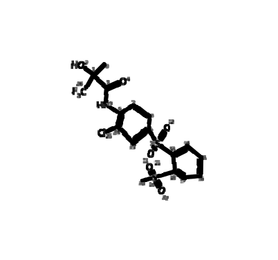 CC(O)(C(=O)Nc1ccc(S(=O)(=O)c2ccccc2S(C)(=O)=O)cc1Cl)C(F)(F)F